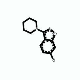 Clc1ccc2c(N3CCCCC3)noc2c1